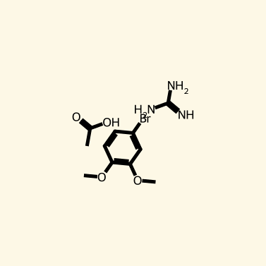 CC(=O)O.COc1ccc(Br)cc1OC.N=C(N)N